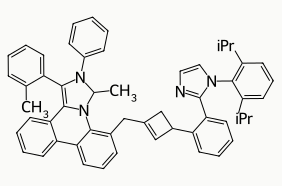 Cc1ccccc1C1=C2c3ccccc3-c3cccc(CC4=CC(c5ccccc5-c5nccn5-c5c(C(C)C)cccc5C(C)C)C4)c3N2C(C)N1c1ccccc1